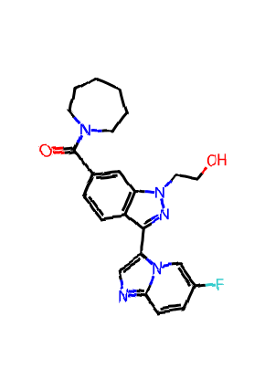 O=C(c1ccc2c(-c3cnc4ccc(F)cn34)nn(CCO)c2c1)N1CCCCCC1